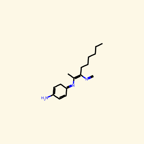 C=N/C(CCCCCC)=C(C)\N=C1\C=CC(N)=CC1